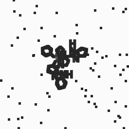 c1ccc(C[C@]2([C@@]3(Cc4ccccc4)CCCN3Cc3nc4ccccc4[nH]3)CCCN2Cc2nc3ccccc3[nH]2)cc1